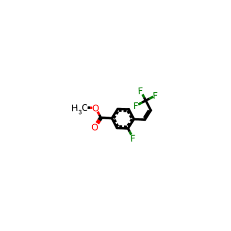 COC(=O)c1ccc(/C=C\C(F)(F)F)c(F)c1